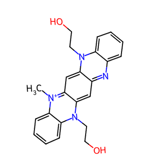 C[N+]1=c2cc3c(cc2N(CCO)c2ccccc21)=Nc1ccccc1N3CCO